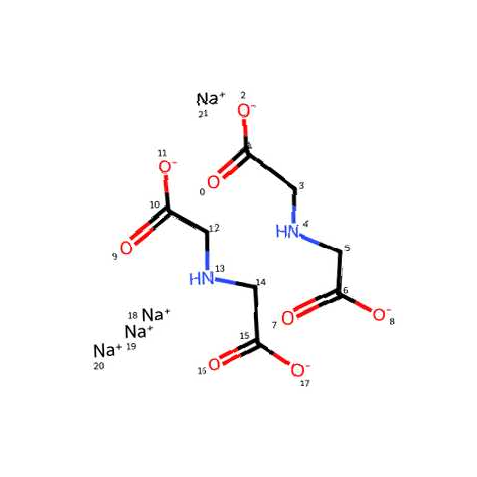 O=C([O-])CNCC(=O)[O-].O=C([O-])CNCC(=O)[O-].[Na+].[Na+].[Na+].[Na+]